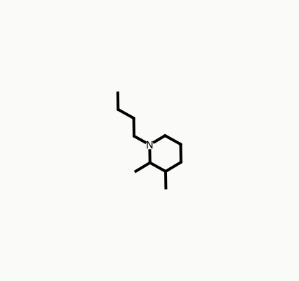 CCCCN1CCCC(C)C1C